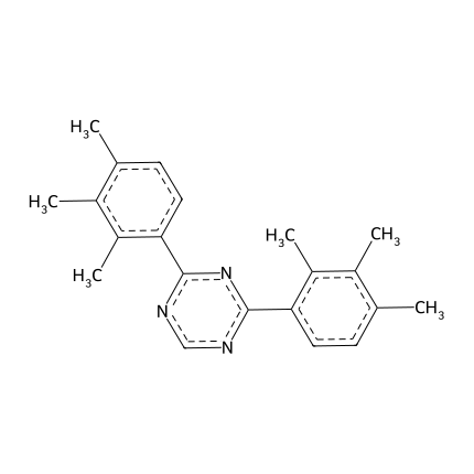 Cc1ccc(-c2ncnc(-c3ccc(C)c(C)c3C)n2)c(C)c1C